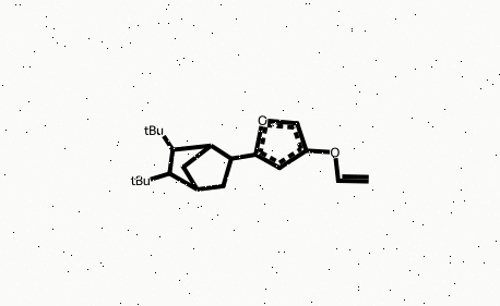 C=COc1coc(C2CC3CC2C(C(C)(C)C)C3C(C)(C)C)c1